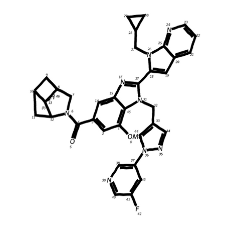 COc1cc(C(=O)N2CC3CC4CC2[C@H]43)cc2nc(-c3cc4cccnc4n3CC3CC3)n(Cc3cnn(-c4cncc(F)c4)c3)c12